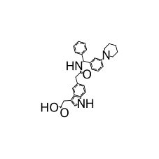 O=C(O)Cc1c[nH]c2ccc(CC(=O)NC(c3ccccc3)c3cccc(N4CCCCC4)c3)cc12